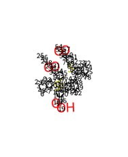 CC1(C)CCC(C)(C)c2cc(Sc3ccc(CC(=O)O)cc3)ccc21.CCCCOC(=O)Cc1cccc(Sc2ccc3c(c2)C(C)(C)CCC3(C)C)c1.COC(=O)Cc1cccc(Sc2ccc3c(c2)C(C)(C)CCC3(C)C)c1